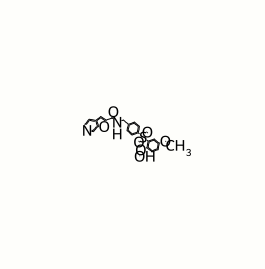 COc1ccc(OO)c(S(=O)(=O)c2ccc(CNC(=O)c3cc4ccncc4o3)cc2)c1